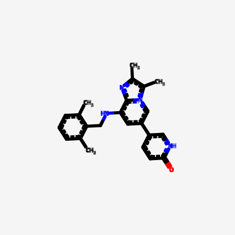 Cc1cccc(C)c1CNc1cc(-c2ccc(=O)[nH]c2)cn2c(C)c(C)nc12